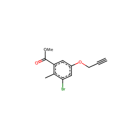 C#CCOc1cc(Br)c(C)c(C(=O)OC)c1